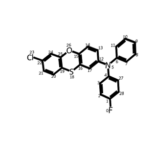 Fc1ccc(N(c2ccccc2)c2ccc3c(c2)Sc2ccc(Cl)cc2O3)cc1